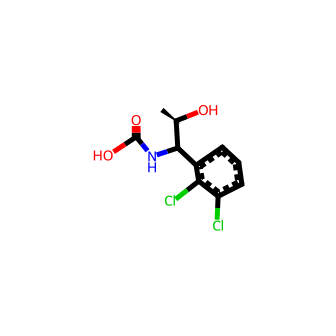 C[C@@H](O)C(NC(=O)O)c1cccc(Cl)c1Cl